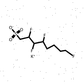 O=S(=O)([O-])CC(F)C(F)C(F)CCCCF.[K+]